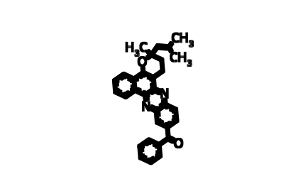 CC(C)=CC1(C)CCc2c(c3ccccc3c3nc4cc(C(=O)c5ccccc5)ccc4nc23)O1